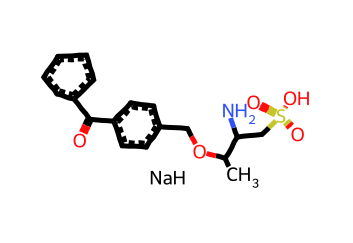 CC(OCc1ccc(C(=O)c2ccccc2)cc1)C(N)CS(=O)(=O)O.[NaH]